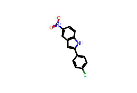 O=[N+]([O-])c1ccc2[nH]c(-c3ccc(Cl)cc3)cc2c1